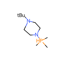 CC(C)(C)N1CCN([PH](C)(C)C)CC1